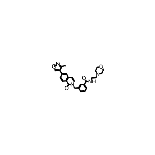 Cc1nocc1-c1ccc2c(=O)n(Cc3cccc(C(=O)NCCN4CCOCC4)c3)ccc2c1